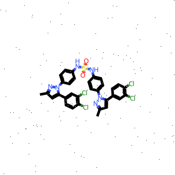 Cc1cc(-c2ccc(Cl)c(Cl)c2)n(-c2ccc(NS(=O)(=O)Nc3ccc(-n4nc(C)cc4-c4ccc(Cl)c(Cl)c4)cc3)cc2)n1